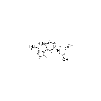 NCc1ccoc1-c1cc(N(CCO)CCO)ccc1N